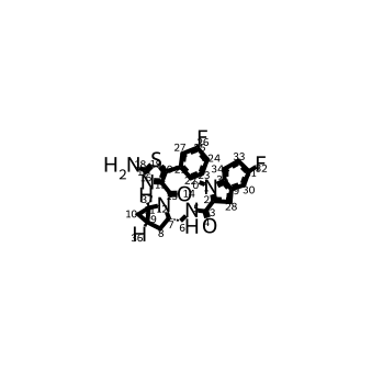 Cn1c(C(=O)NC[C@@H]2C[C@@H]3C[C@@H]3N2C(=O)c2nc(N)sc2-c2cccc(F)c2)cc2cc(F)ccc21